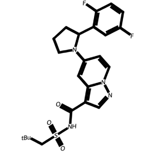 CC(C)(C)CS(=O)(=O)NC(=O)c1cnn2ccc(N3CCCC3c3cc(F)ccc3F)cc12